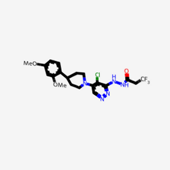 COc1ccc(C2CCN(c3cnnc(NNC(=O)CC(F)(F)F)c3Cl)CC2)c(OC)c1